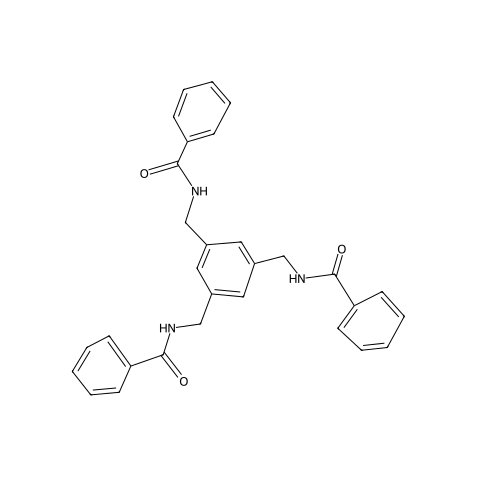 O=C(NCc1cc(CNC(=O)c2ccccc2)cc(CNC(=O)c2ccccc2)c1)c1ccccc1